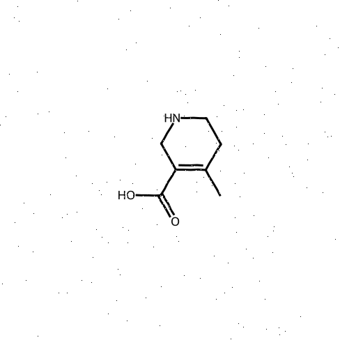 CC1=C(C(=O)O)CNCC1